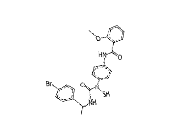 COc1ccccc1C(=O)Nc1ccc(N(S)C(=O)NC(C)c2ccc(Br)cc2)cc1